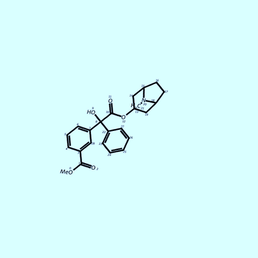 COC(=O)c1cccc(C(O)(C(=O)OC2CC3CCC(C2)N3C)c2ccccc2)c1